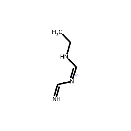 CCN/C=N\C=N